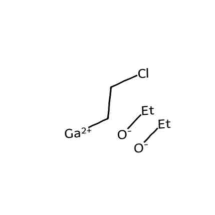 CC[O-].CC[O-].ClC[CH2][Ga+2]